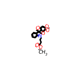 CCOC(=O)CCCN1C(=O)C2(COc3cc4c(cc32)OCO4)c2ccccc21